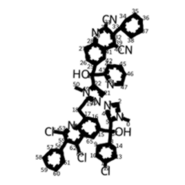 Cn1cncc1C(O)(c1ccc(Cl)cc1)c1cc(Cc2ncc(C(O)(c3ccc4nc(C#N)c(-c5ccccc5)c(C#N)c4c3)c3ccccn3)n2C)c2nc(Cl)c(-c3ccccc3)c(Cl)c2c1